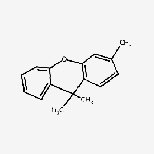 Cc1ccc2c(c1)Oc1ccccc1C2(C)C